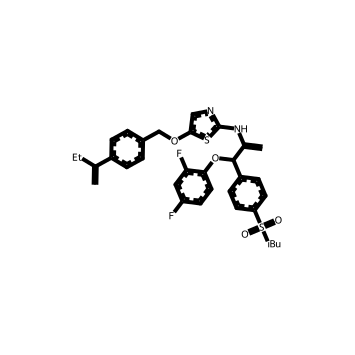 C=C(CC)c1ccc(COc2cnc(NC(=C)C(Oc3ccc(F)cc3F)c3ccc(S(=O)(=O)C(C)CC)cc3)s2)cc1